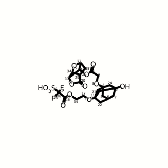 O=C(COC12CC3CC(O)(CC(OCCOC(=O)C(F)(F)S(=O)(=O)O)(C3)C1)C2)OC1C2CC3C(=O)OC1C3O2